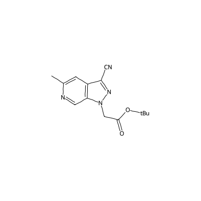 Cc1cc2c(C#N)nn(CC(=O)OC(C)(C)C)c2cn1